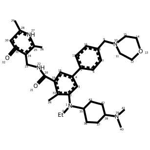 CCN(c1cc(-c2ccc(CN3CCOCC3)cc2)cc(C(=O)NCc2c(C)[nH]c(C)cc2=O)c1C)C1CCC(N(C)C)CC1